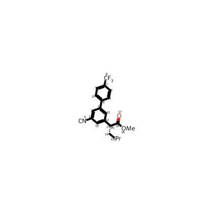 [C-]#[N+]c1cc(-c2ccc(C(F)(F)F)cc2)cc([C@@H](CC(C)C)C(=O)OC)c1